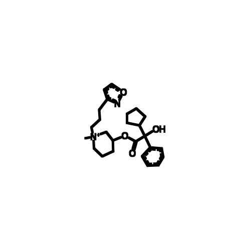 C[N+]1(CCCc2ccon2)CCCC(OC(=O)C(O)(c2ccccc2)C2CCCC2)C1